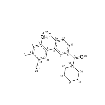 Cc1cc(O)c(-c2cc(C(=O)N3CCCCC3)ccc2F)cc1Cl